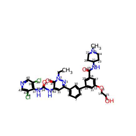 CCn1nc(-c2cccc(-c3cc(OCCO)cc(C(=O)NC4CCN(C)CC4)c3)c2)cc(NC(=O)Nc2c(Cl)cncc2Cl)c1=O